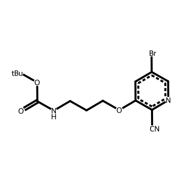 CC(C)(C)OC(=O)NCCCOc1cc(Br)cnc1C#N